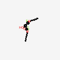 CCCCCCCCCCOc1ccc(-c2cc(-c3ccc(OCCCCCCCCC)c(F)c3)ccc2C(=O)O)c(F)c1F